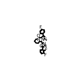 Cn1cc(-c2ccc(F)cc2)c(C(=O)N2CCCCC2Cc2nnc(-c3cccc(F)c3F)o2)n1